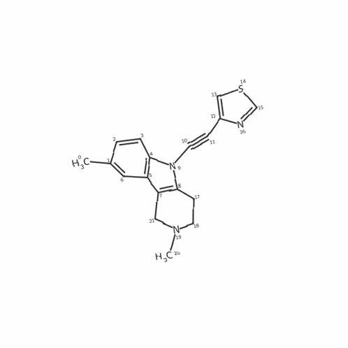 Cc1ccc2c(c1)c1c(n2C#Cc2cscn2)CCN(C)C1